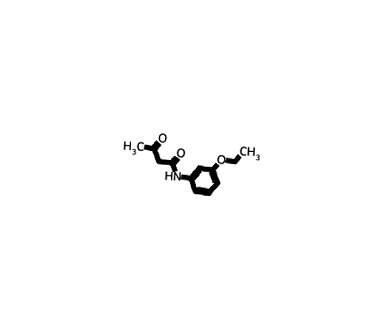 CCOc1cccc(NC(=O)CC(C)=O)c1